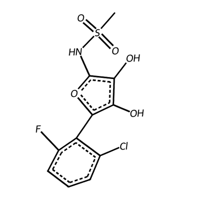 CS(=O)(=O)Nc1oc(-c2c(F)cccc2Cl)c(O)c1O